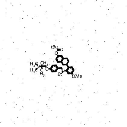 CCN(Cc1ccc(OCC(C)(C)N(C)C)cc1)c1cc(OC)ccc1C1CCc2cc(OC(=O)C(C)(C)C)ccc2C1